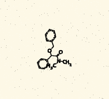 CN(C)C(=O)C(OCc1ccccc1)c1ccccc1